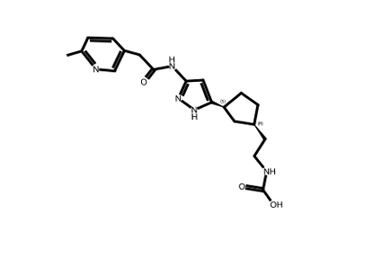 Cc1ccc(CC(=O)Nc2cc([C@H]3CC[C@@H](CCNC(=O)O)C3)[nH]n2)cn1